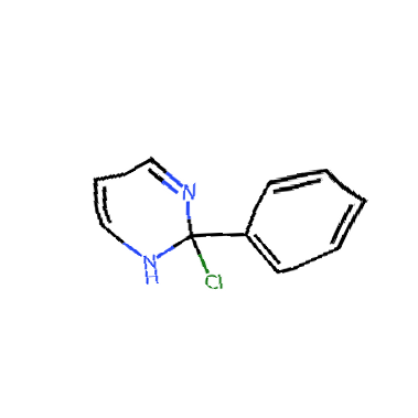 ClC1(c2ccccc2)N=CC=CN1